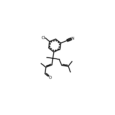 CC(C)=CCC(C)(/C=C(\C)C=O)c1cc(Cl)cc(C#N)c1